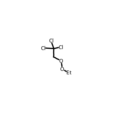 CCOOCC(Cl)(Cl)Cl